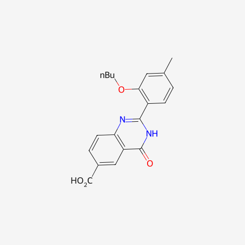 CCCCOc1cc(C)ccc1-c1nc2ccc(C(=O)O)cc2c(=O)[nH]1